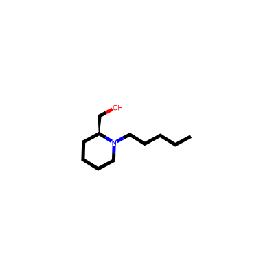 CCCCCN1CCCC[C@H]1CO